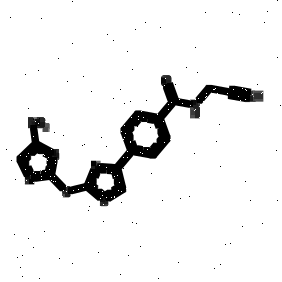 C#CCNC(=O)c1ccc(-c2csc(Sc3ncc([N+](=O)[O-])s3)n2)cc1